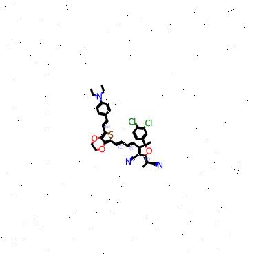 CCN(CC)c1ccc(/C=C/c2sc(/C=C/C=C/C3=C(C#N)C(=C(\C)C#N)/OC3(C)c3ccc(Cl)c(Cl)c3)c3c2OCCO3)cc1